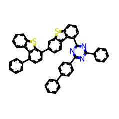 c1ccc(-c2ccc(-c3nc(-c4ccccc4)nc(-c4cccc5sc6cc(-c7ccc(-c8ccccc8)c8c7sc7ccccc78)ccc6c45)n3)cc2)cc1